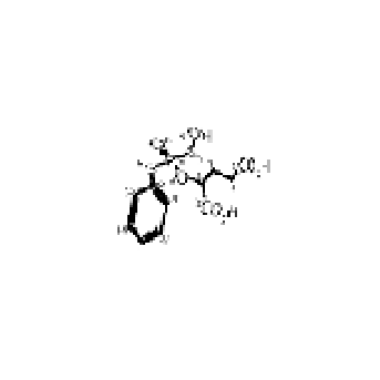 O=C(O)CCC(OP(=O)(SO)Sc1ccccc1)C(=O)O